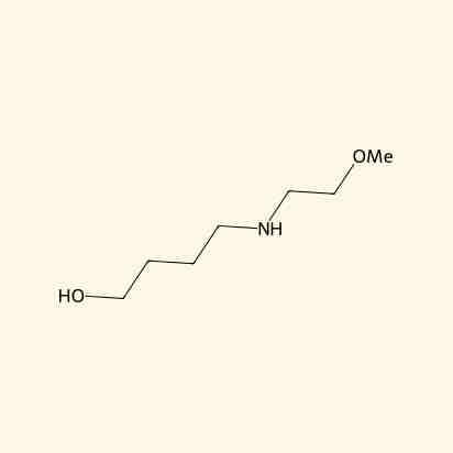 COCCNCCCCO